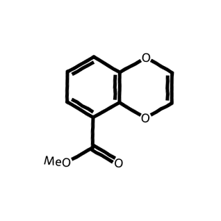 COC(=O)c1cccc2c1OC=CO2